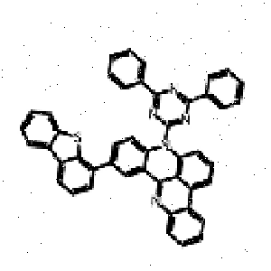 c1ccc(-c2nc(-c3ccccc3)nc(N3c4ccc(-c5cccc6c5sc5ccccc56)cc4-c4nc5ccccc5c5cccc3c45)n2)cc1